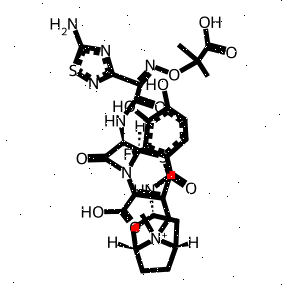 CC(C)(O/N=C(\C(=O)N[C@@H]1C(=O)N2C(C(=O)O)=C(C[N+]3(C)[C@@H]4CC[C@H]3C[C@@H](NC(=O)c3ccc(O)c(O)c3F)C4)CS[C@H]12)c1nsc(N)n1)C(=O)O